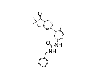 Cc1ccc(NC(=O)NCc2ccccc2)cc1-c1ccc2c(c1)CC(C)(C)C2=O